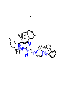 COc1ccccc1N1CCN(CCNc2nc(C3CC(C)CCC3C(C)C)c(C(C)=O)c(C3CC(C)CCC3C(C)C)n2)CC1